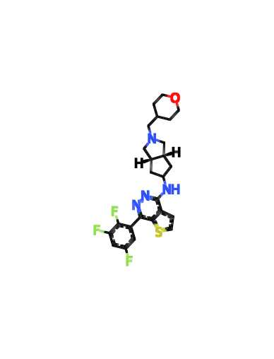 Fc1cc(F)c(F)c(-c2nnc(NC3C[C@@H]4CN(CC5CCOCC5)C[C@@H]4C3)c3ccsc23)c1